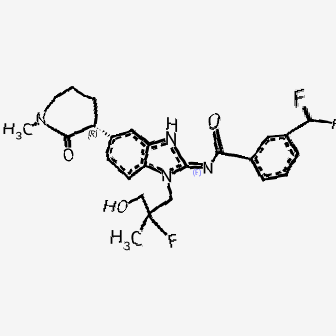 CN1CCC[C@H](c2ccc3c(c2)[nH]/c(=N\C(=O)c2cccc(C(F)F)c2)n3CC(C)(F)CO)C1=O